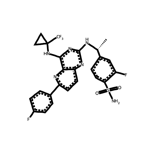 C[C@@H](Nc1nc(NC2(C(F)(F)F)CC2)c2nc(-c3ccc(F)cc3)ccc2n1)c1ccc(S(N)(=O)=O)c(F)c1